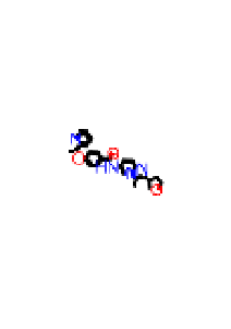 Cc1c(C2CCOC2)nc2ccc(NC(=O)c3ccc(OC(C)c4ccccn4)cc3)cn12